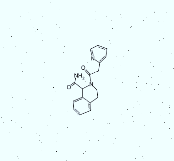 NC(=O)C1c2cc[c]cc2CCN1C(=O)Cc1ccccn1